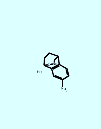 Cl.O=[N+]([O-])c1ccc2c(c1)C1CCC2CNC1